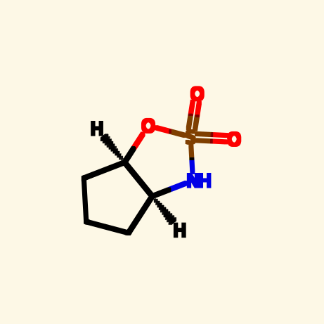 O=S1(=O)N[C@H]2CCC[C@H]2O1